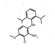 COc1ccc(Nc2c(C(C)C)cccc2C(C)C)c(N)c1Cl